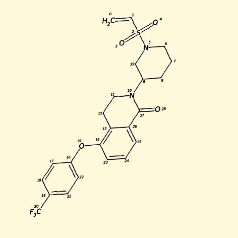 C=CS(=O)(=O)N1CCCC(N2CCc3c(Oc4ccc(C(F)(F)F)cc4)cccc3C2=O)C1